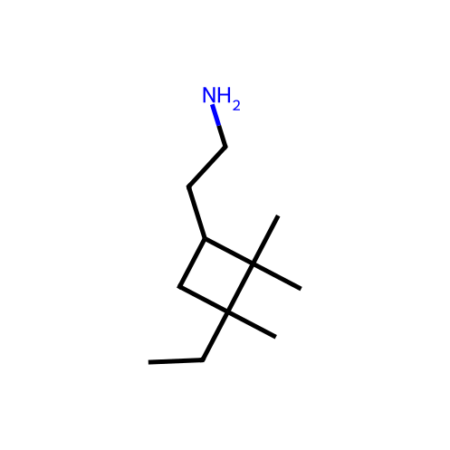 CCC1(C)CC(CCN)C1(C)C